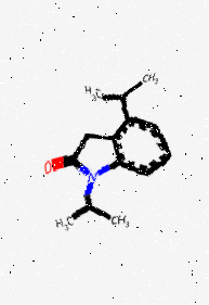 CC(C)c1cccc2c1CC(=O)N2C(C)C